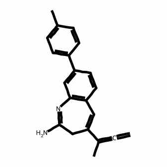 C=C=C(C)C1=Cc2ccc(-c3ccc(C)cc3)cc2N=C(N)C1